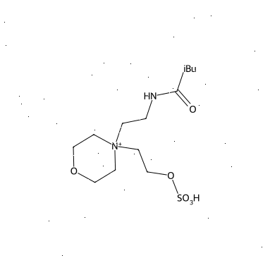 CCC(C)C(=O)NCC[N+]1(CCOS(=O)(=O)O)CCOCC1